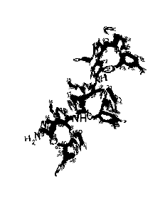 CCn1ncc2c1-c1cnc(Nc3nn(CC)c4c3Cn3ccnc3-c3ccc(F)cc3COc3cc-4cnc3Nc3nn(CC)c4c3Cn3ccnc3-c3ncc(F)cc3COc3cc-4cnc3N)c(c1)OCc1cc(F)ccc1-n1ncc(F)c1C2